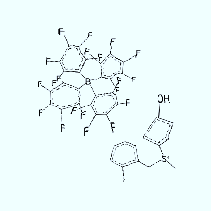 Cc1ccccc1C[S+](C)c1ccc(O)cc1.Fc1c(F)c(F)c([B-](c2c(F)c(F)c(F)c(F)c2F)(c2c(F)c(F)c(F)c(F)c2F)c2c(F)c(F)c(F)c(F)c2F)c(F)c1F